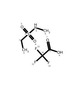 CCS(=O)(=O)NC.O=C(O)C(F)(F)F